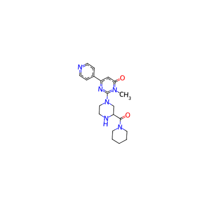 Cn1c(N2CCNC(C(=O)N3CCCCC3)C2)nc(-c2ccncc2)cc1=O